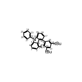 CCc1cccc2c1c1c(-c3cc(C(C)(C)C)cc(C(C)(C)C)c3)cccc1n2-c1ccccc1